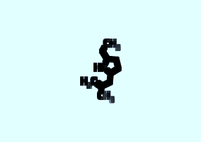 C=C(C)CC1CCC(CC)N1